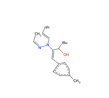 C/C=N\N(/C=C/CCC)/C(=C/c1ccc(C)cc1)C(O)C(C)(C)C